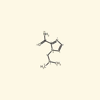 CN(C)Cn1ccnc1C(N)=O